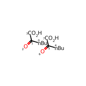 CCCCC(=O)C(=O)O.CCCCC(=O)C(=O)O